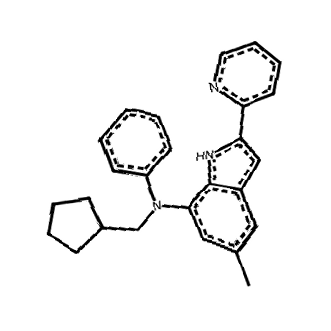 Cc1cc(N(CC2CCCC2)c2ccccc2)c2[nH]c(-c3ccccn3)cc2c1